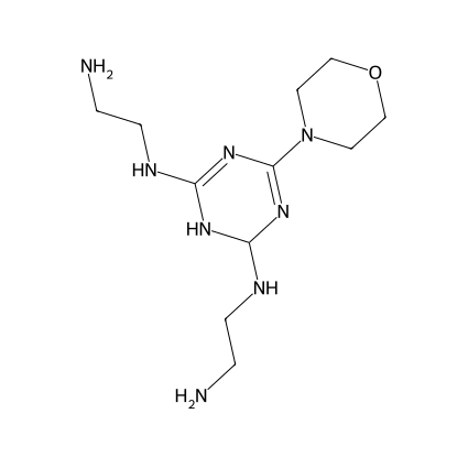 NCCNC1=NC(N2CCOCC2)=NC(NCCN)N1